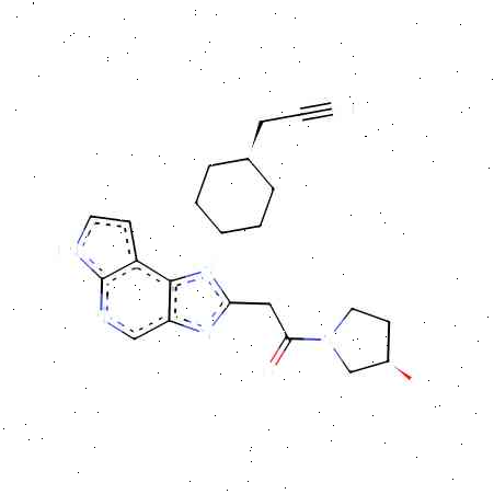 C#CC[C@H]1CC[C@H](n2c(CC(=O)N3CC[C@@H](O)C3)nc3cnc4[nH]ccc4c32)CC1